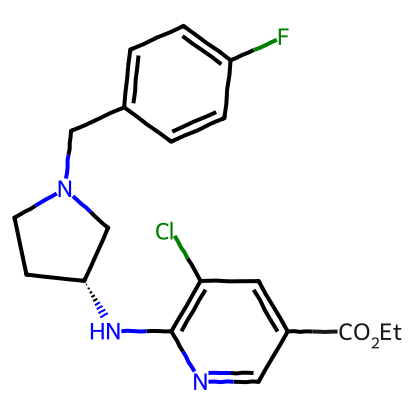 CCOC(=O)c1cnc(N[C@@H]2CCN(Cc3ccc(F)cc3)C2)c(Cl)c1